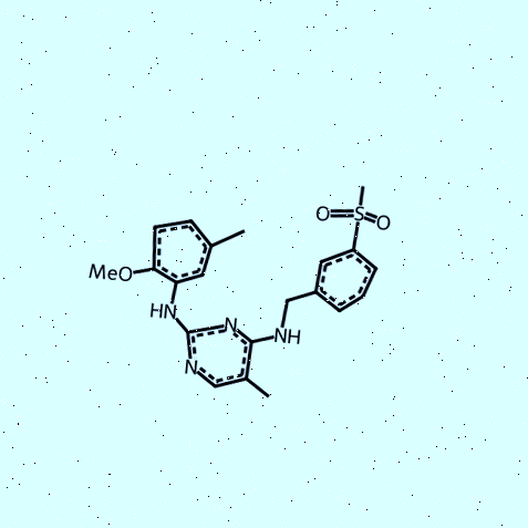 COc1ccc(C)cc1Nc1ncc(C)c(NCc2cccc(S(C)(=O)=O)c2)n1